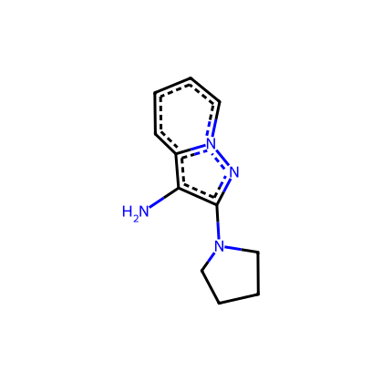 Nc1c(N2CCCC2)nn2ccccc12